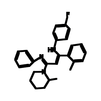 Cc1ccccc1C(=CC(=Nc1ccccc1)N1CCCCC1C)Nc1ccc(F)cc1